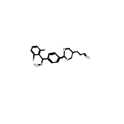 C=CCCC1COC(c2ccc(C(OC)c3c(F)cccc3F)cc2)OC1